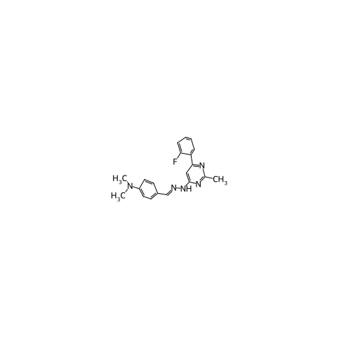 Cc1nc(N/N=C/c2ccc(N(C)C)cc2)cc(-c2ccccc2F)n1